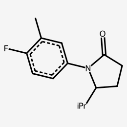 Cc1cc(N2C(=O)CCC2C(C)C)ccc1F